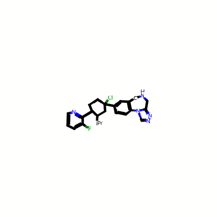 CC(C)C1CC(Cl)(c2ccc3c(c2)CNCc2nncn2-3)CCC1c1ncccc1F